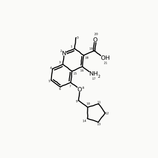 Cc1nc2cccc(OCC3CCCC3)c2c(N)c1C(=O)O